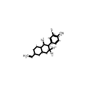 [2H]C1C2CCC(C=C)CC2CC([2H])([2H])C1c1ccc(C#N)c(F)c1